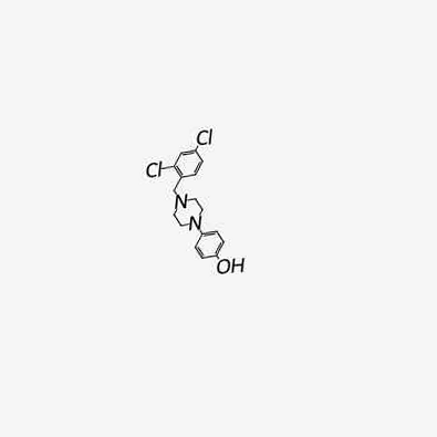 Oc1ccc(N2CCN(Cc3ccc(Cl)cc3Cl)CC2)cc1